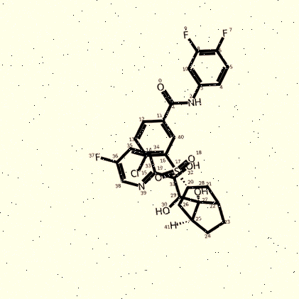 O=C(Nc1ccc(F)c(F)c1)c1ccc(Cl)c(S(=O)(=O)[C@@H]2CC3CC[C@@H](C2)[C@@]3(O)C(O)C(O)c2ccc(F)cn2)c1